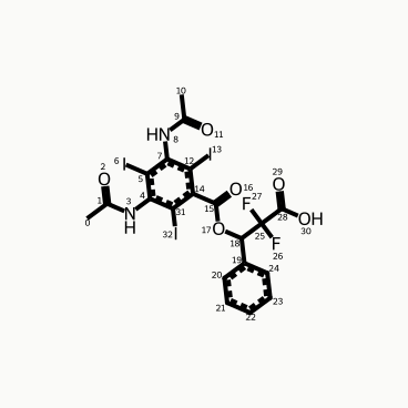 CC(=O)Nc1c(I)c(NC(C)=O)c(I)c(C(=O)OC(c2ccccc2)C(F)(F)C(=O)O)c1I